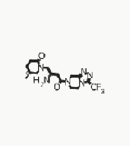 C[C@H]1CCC(=O)N(C[C@H](N)CC(=O)N2CCn3c(nnc3C(F)(F)F)C2)C1